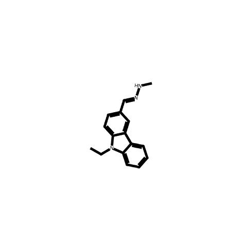 CCn1c2ccccc2c2cc(C=NNC)ccc21